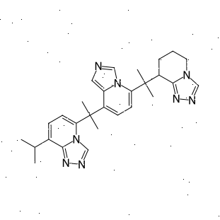 CC(C)c1ccc(C(C)(C)c2ccc(C(C)(C)C3CCCn4cnnc43)n3cncc23)n2cnnc12